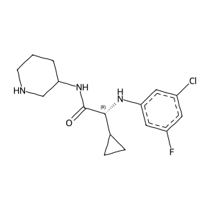 O=C(NC1CCCNC1)[C@H](Nc1cc(F)cc(Cl)c1)C1CC1